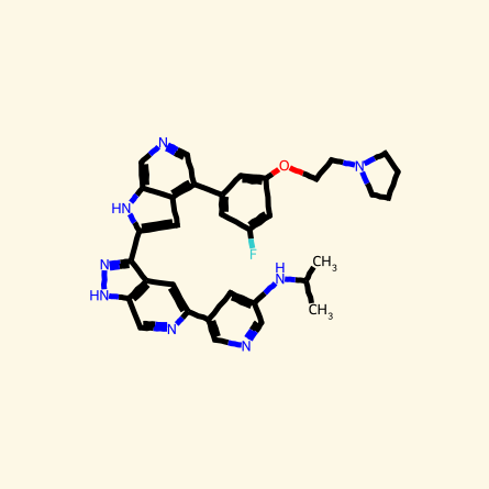 CC(C)Nc1cncc(-c2cc3c(-c4cc5c(-c6cc(F)cc(OCCN7CCCC7)c6)cncc5[nH]4)n[nH]c3cn2)c1